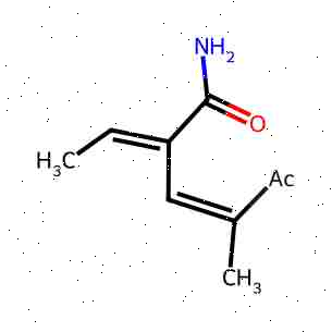 C/C=C(\C=C(\C)C(C)=O)C(N)=O